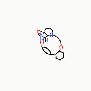 C1CCC2C3CCC(CC3)OC[C@@H]3N(CCCOC2C1)CCC[C@@]31COCCN1